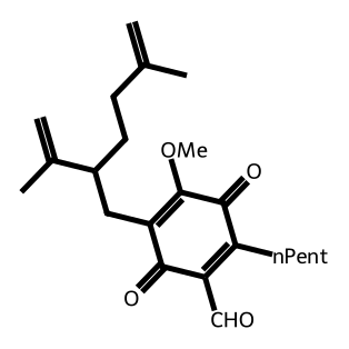 C=C(C)CCC(CC1=C(OC)C(=O)C(CCCCC)=C(C=O)C1=O)C(=C)C